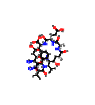 CC(C)CC(NC(=O)[C@H](CC(N)=O)NC(=O)C(NC(=O)[C@@H](N)CCC(=O)O)C(C)C)[C@@H](O)C[C@@H](C)C(=O)N[C@@H](C)C(=O)N[C@@H](CCC(=O)O)C(=O)NC(Cc1ccccc1)C(=O)O